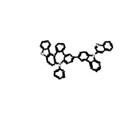 c1ccc(N2c3ccc(-c4ccc5c(c4)c4ccccc4n5-c4cnc5ccccc5c4)cc3-c3ccccc3-c3c2ccc2oc4ccccc4c32)cc1